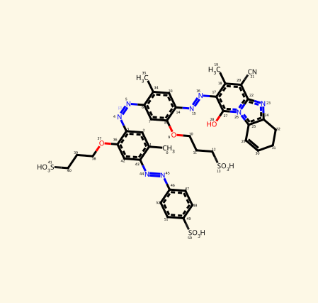 Cc1cc(/N=N\c2cc(OCCCS(=O)(=O)O)c(N=Nc3c(C)c(C#N)c4nc5c(n4c3O)C=CCC5)cc2C)c(OCCCS(=O)(=O)O)cc1N=Nc1ccc(S(=O)(=O)O)cc1